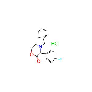 Cl.O=C1OCCN(Cc2ccccc2)[C@H]1c1ccc(F)cc1